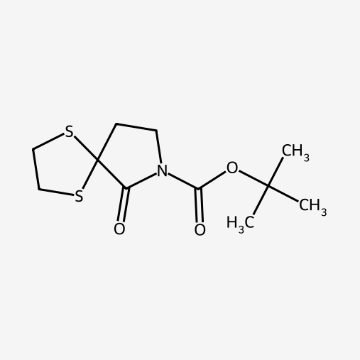 CC(C)(C)OC(=O)N1CCC2(SCCS2)C1=O